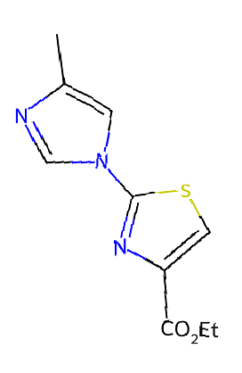 CCOC(=O)c1csc(-n2cnc(C)c2)n1